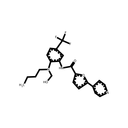 CCCCN(CO)c1ccc(C(F)(F)F)cc1NC(=O)c1ccc(-c2ccncc2)o1